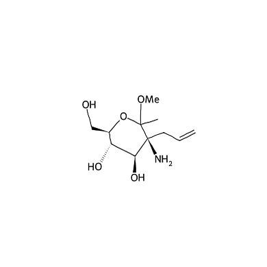 C=CC[C@]1(N)[C@@H](O)[C@H](O)[C@@H](CO)OC1(C)OC